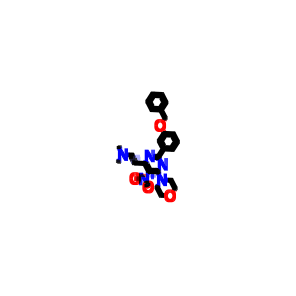 CN(C)/C=C/c1nc(-c2cccc(OCc3ccccc3)c2)nc(N2CCOCC2)c1[N+](=O)[O-]